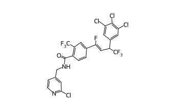 O=C(NCc1ccnc(Cl)c1)c1ccc(C(F)=CC(c2cc(Cl)c(Cl)c(Cl)c2)C(F)(F)F)cc1C(F)(F)F